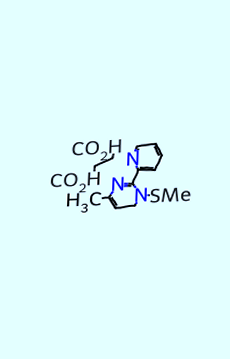 CSN1CC=C(C)N=C1c1ccccn1.O=C(O)CCC(=O)O